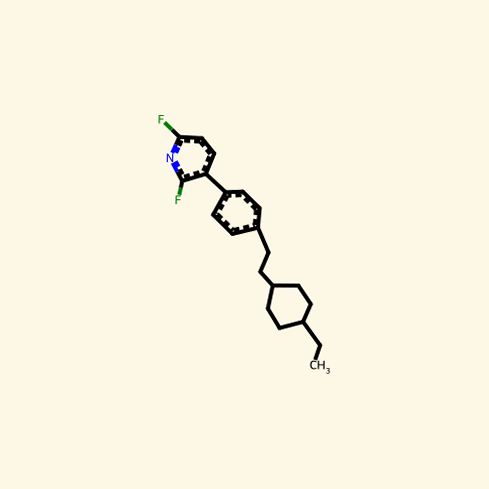 CCC1CCC(CCc2ccc(-c3ccc(F)nc3F)cc2)CC1